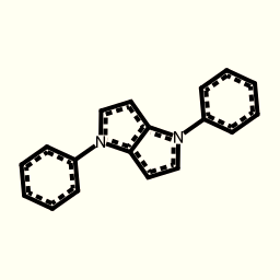 c1ccc(-n2ccc3c2ccn3-c2ccccc2)cc1